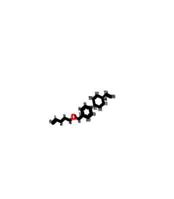 C=CCCCOCc1ccc([C@H]2CC[C@H](C=C)CC2)cc1